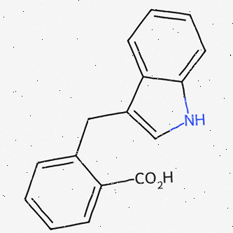 O=C(O)c1ccccc1Cc1c[nH]c2ccccc12